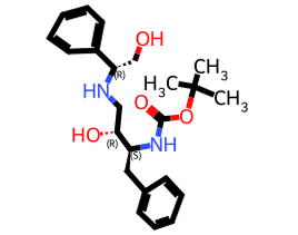 CC(C)(C)OC(=O)N[C@@H](Cc1ccccc1)[C@H](O)CN[C@@H](CO)c1ccccc1